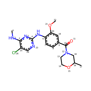 CNc1nc(Nc2ccc(C(=O)N3CCOC(C)C3)cc2OC)ncc1Cl